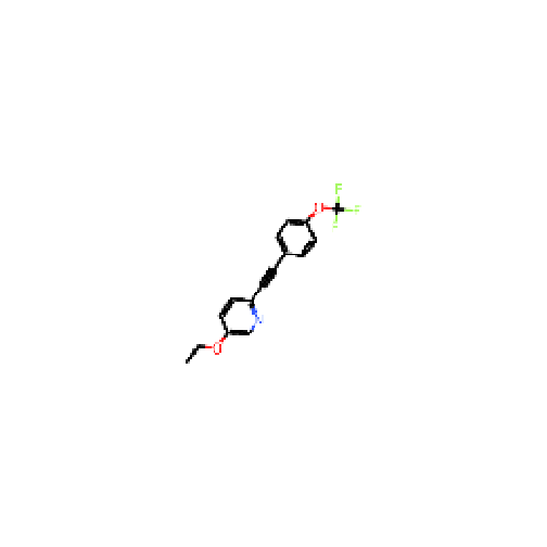 CCOc1ccc(C#Cc2ccc(OC(F)(F)F)cc2)nc1